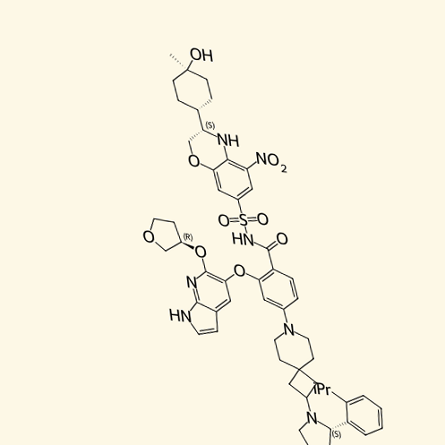 CC(C)c1ccccc1[C@@H]1CCCN1C1CC2(CCN(c3ccc(C(=O)NS(=O)(=O)c4cc5c(c([N+](=O)[O-])c4)N[C@@H]([C@H]4CC[C@](C)(O)CC4)CO5)c(Oc4cc5cc[nH]c5nc4O[C@@H]4CCOC4)c3)CC2)C1